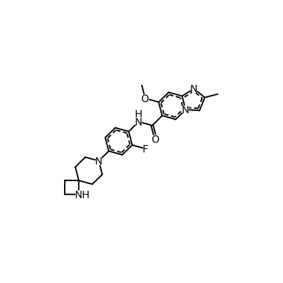 COc1cc2nc(C)cn2cc1C(=O)Nc1ccc(N2CCC3(CCN3)CC2)cc1F